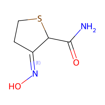 NC(=O)C1SCC/C1=N\O